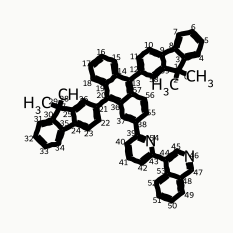 CC1(C)c2ccccc2-c2ccc(-c3c4ccccc4c(-c4ccc5c(c4)C(C)(C)c4ccccc4-5)c4cc(-c5cccc(-c6cncc7ccccc67)n5)ccc34)cc21